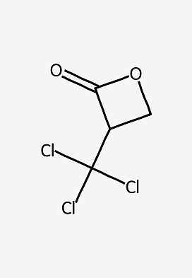 O=C1OCC1C(Cl)(Cl)Cl